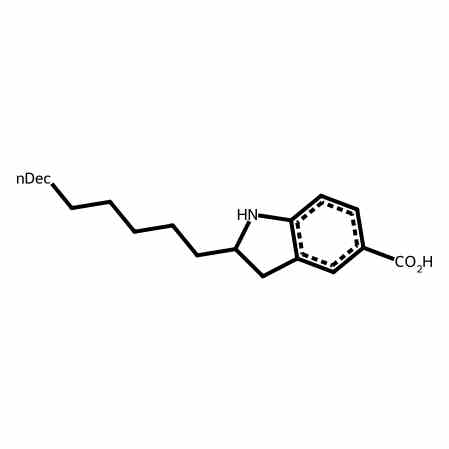 CCCCCCCCCCCCCCCC1Cc2cc(C(=O)O)ccc2N1